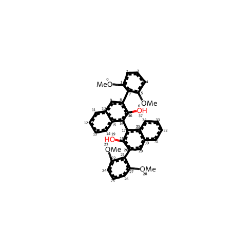 COc1cccc(OC)c1-c1cc2ccccc2c(-c2c(O)c(-c3c(OC)cccc3OC)cc3ccccc23)c1O